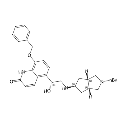 CCCCN1C[C@H]2C[C@H](NC[C@H](O)c3ccc(OCc4ccccc4)c4[nH]c(=O)ccc34)C[C@H]2C1